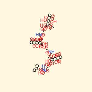 CCOC(CC)O[C@H]1C[C@](O)(C(=O)COC(=O)CCC(=O)NC(C)OC(CC)O[C@H]2C[C@](O)(C(=O)COC(=O)CCC(=O)NC(C)OC(CC)O[C@H]3C[C@](O)(C(=O)COC(=O)CCC(=O)N(CO)NC(=O)OCC4c5ccccc5-c5ccccc54)Cc4c(O)c5c(c(O)c43)C(=O)c3c(OC)cccc3C5=O)Cc3c(O)c4c(c(O)c32)C(=O)c2c(OC)cccc2C4=O)Cc2c(O)c3c(c(O)c21)C(=O)c1c(OC)cccc1C3=O